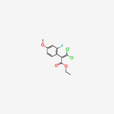 CCOC(=O)C(=C(Cl)Cl)c1ccc(OC)cc1F